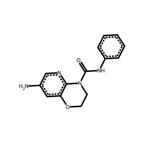 Nc1cnc2c(c1)OCCN2C(=O)Nc1ccccc1